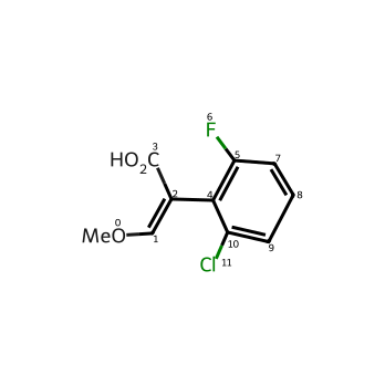 COC=C(C(=O)O)c1c(F)cccc1Cl